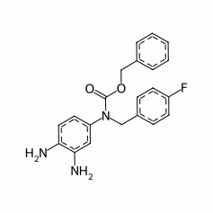 Nc1ccc(N(Cc2ccc(F)cc2)C(=O)OCc2ccccc2)cc1N